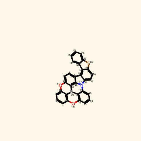 c1cc2c3c(c1)Oc1ccc4c5c6c(ccc5n5c4c1B3c1c(cccc1-5)O2)sc1ccccc16